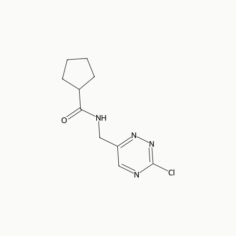 O=C(NCc1cnc(Cl)nn1)C1CCCC1